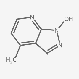 Cc1ccnc2c1[c]nn2O